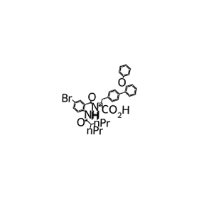 CCCC(CCC)C(=O)Nc1ccc(Br)cc1C(=O)N[C@@H](Cc1ccc(-c2ccccc2Oc2ccccc2)cc1)C(=O)O